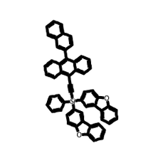 C(#C[Si](c1ccccc1)(c1ccc2oc3ccccc3c2c1)c1ccc2oc3ccccc3c2c1)c1c2ccccc2c(-c2ccc3ccccc3c2)c2ccccc12